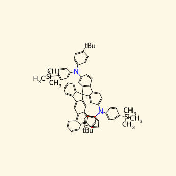 CC(C)(C)c1ccc(N(c2ccc([Si](C)(C)C)cc2)c2ccc3c(c2)C2(c4ccccc4-c4cc5c6ccccc6c6ccccc6c5cc42)c2cc(N(c4ccc(C(C)(C)C)cc4)c4ccc([Si](C)(C)C)cc4)ccc2-3)cc1